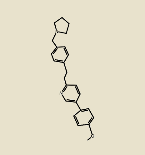 COc1ccc(-c2ccc(CCc3ccc(CN4CCCC4)cc3)nc2)cc1